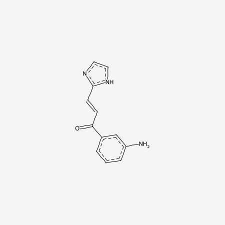 Nc1cccc(C(=O)/C=C/c2ncc[nH]2)c1